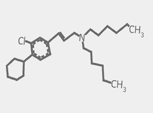 CCCCCCN(CC=Cc1ccc(C2CCCCC2)c(Cl)c1)CCCCCC